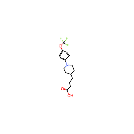 O=C(O)CCCC1CCN(c2ccc(OC(F)(F)F)cc2)CC1